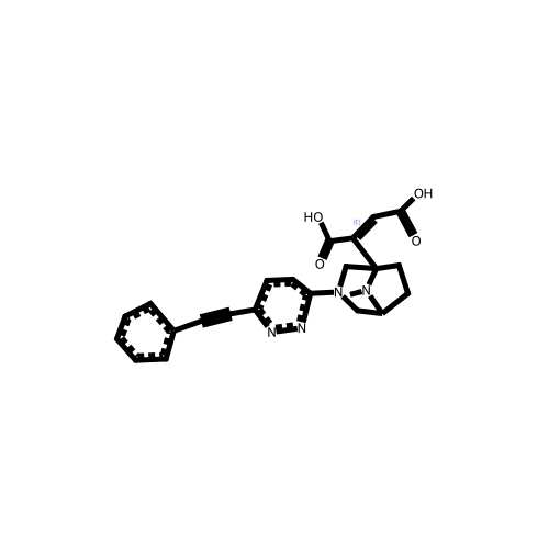 CN1C2CCC1(/C(=C\C(=O)O)C(=O)O)CN(c1ccc(C#Cc3ccccc3)nn1)C2